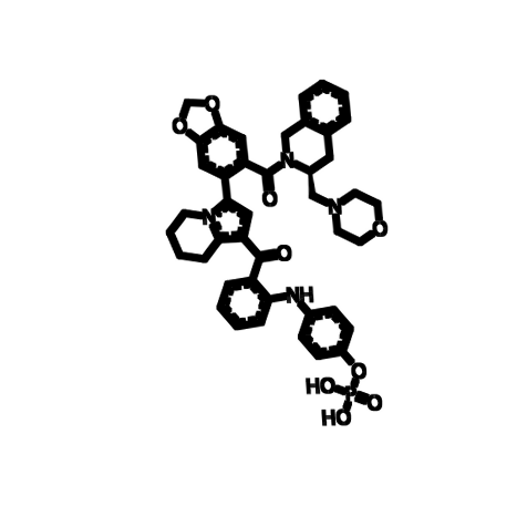 O=C(c1ccccc1Nc1ccc(OP(=O)(O)O)cc1)c1cc(-c2cc3c(cc2C(=O)N2Cc4ccccc4C[C@H]2CN2CCOCC2)OCO3)n2c1CCCC2